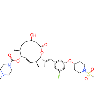 C/C(=C\c1cc(F)cc(OC2CCN(S(C)(=O)=O)CC2)c1)[C@H]1OC(=O)C[C@H](O)CC[C@H](C)[C@@H](OC(=O)N2CCN(C)CC2)/C=C/[C@@H]1C